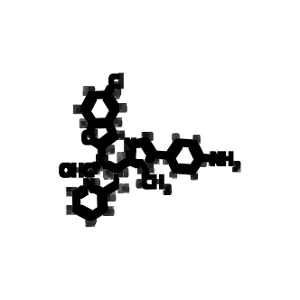 Cn1c(-c2ccc(N)cc2)cnc1[C@H](Cc1ccccn1)N(C=O)c1cc2cc(Cl)ccc2o1